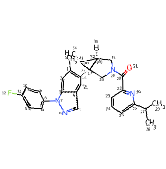 Cc1cc2c(cnn2-c2ccc(F)cc2)cc1[C@@]12CN(C(=O)c3cccc(C(C)C)n3)C[C@@H]1[C@H]2C